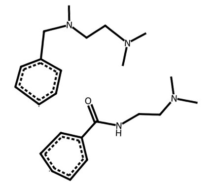 CN(C)CCN(C)Cc1cc[c]cc1.CN(C)CCNC(=O)c1cc[c]cc1